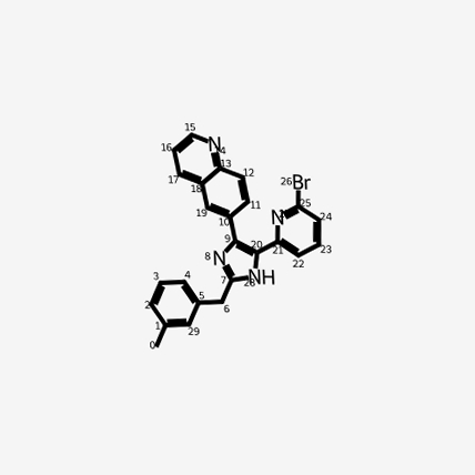 Cc1cccc(Cc2nc(-c3ccc4ncccc4c3)c(-c3cccc(Br)n3)[nH]2)c1